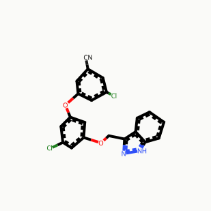 N#Cc1cc(Cl)cc(Oc2cc(Cl)cc(OCc3n[nH]c4ccccc34)c2)c1